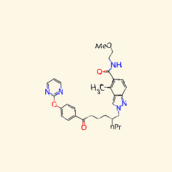 CCCC(CCCC(=O)c1ccc(Oc2ncccn2)cc1)Cn1cc2c(C)c(C(=O)NCCOC)ccc2n1